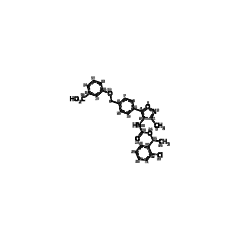 Cc1noc(-c2ccc(COc3cccc(C(=O)O)c3)cc2)c1NC(=O)OC(C)c1ccccc1Cl